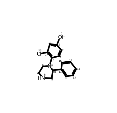 Oc1ccc(N2CCNCC2c2ccccc2)c(Cl)c1